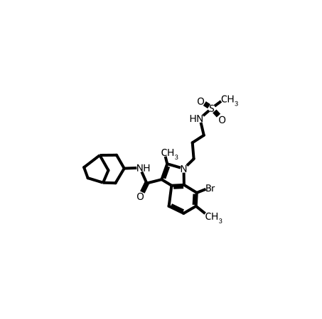 Cc1ccc2c(C(=O)NC3CC4CCC(C4)C3)c(C)n(CCCNS(C)(=O)=O)c2c1Br